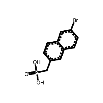 O=P(O)(O)Cc1ccc2cc(Br)ccc2c1